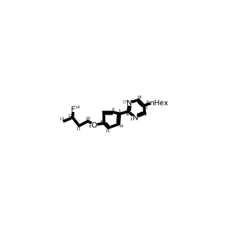 CCCCCCc1cnc(-c2ccc(OCCC(C)F)cc2)nc1